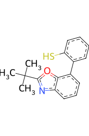 CC(C)(C)c1nc2cccc(-c3ccccc3S)c2o1